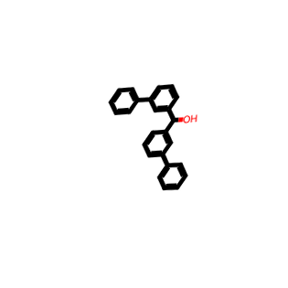 O[C](c1cccc(-c2ccccc2)c1)c1cccc(-c2ccccc2)c1